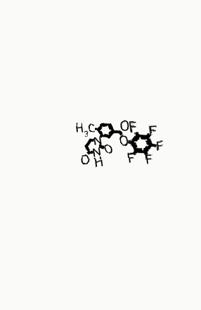 Cc1ccc(C(=O)Oc2c(F)c(F)c(F)c(F)c2F)cc1N1CCC(=O)NC1=O